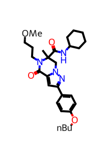 CCCCOc1ccc(-c2cc3n(n2)CC(C)(C(=O)NC2CCCCC2)N(CCCOC)C3=O)cc1